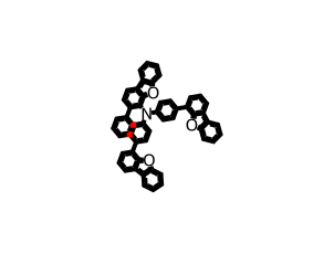 c1ccc(-c2ccc3c(oc4ccccc43)c2N(c2ccc(-c3cccc4c3oc3ccccc34)cc2)c2ccc(-c3cccc4c3oc3ccccc34)cc2)cc1